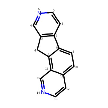 c1cc2c(cn1)Cc1c-2ccc2ccncc12